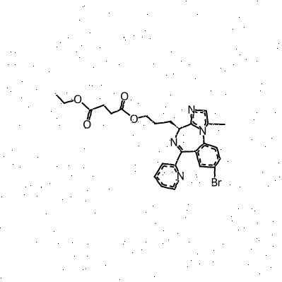 CCOC(=O)CCC(=O)OCCC[C@@H]1N=C(c2ccccn2)c2cc(Br)ccc2-n2c(C)cnc21